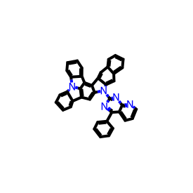 c1ccc(-c2nc(-n3c4cc5ccccc5cc4c4c5c6ccccc6n6c7ccccc7c(cc43)c56)nc3ncccc23)cc1